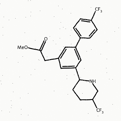 COC(=O)Cc1cc(-c2ccc(C(F)(F)F)cc2)cc(C2CCC(C(F)(F)F)CN2)c1